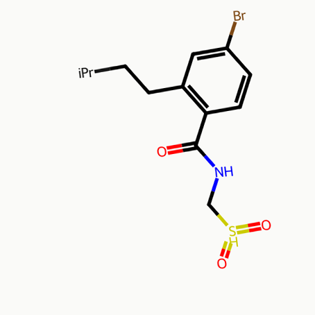 CC(C)CCc1cc(Br)ccc1C(=O)NC[SH](=O)=O